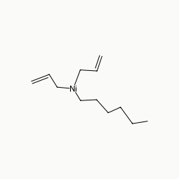 C=C[CH2][Ni]([CH2]C=C)[CH2]CCCCC